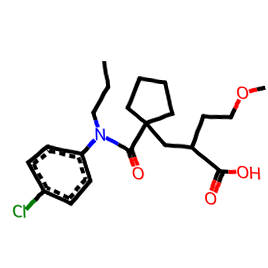 CCCN(C(=O)C1(CC(CCOC)C(=O)O)CCCC1)c1ccc(Cl)cc1